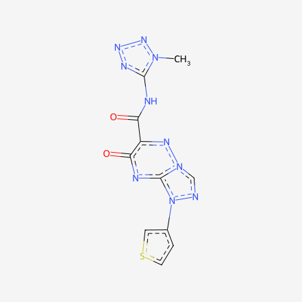 Cn1nnnc1NC(=O)c1nn2cnn(-c3ccsc3)c2nc1=O